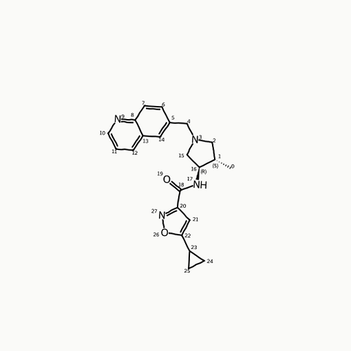 C[C@H]1CN(Cc2ccc3ncccc3c2)C[C@@H]1NC(=O)c1cc(C2CC2)on1